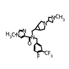 CN1CC(N2CC3C(CN(Cc4ccc(F)c(C(F)(F)F)c4)C(=O)c4cn(C)cn4)C3C2)C1